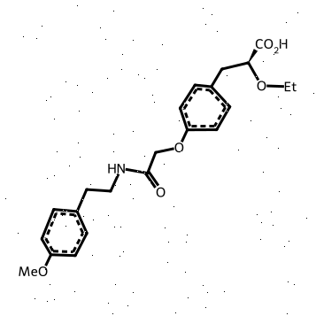 CCO[C@@H](Cc1ccc(OCC(=O)NCCc2ccc(OC)cc2)cc1)C(=O)O